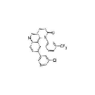 O=c1ccc2cnc3ccc(-c4cncc(Cl)c4)cc3c2n1-c1cccc(C(F)(F)F)c1